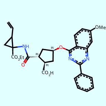 C=CC1CC1(NC(=O)[C@@H]1C[C@@H](Oc2nc(-c3ccccc3)nc3cc(OC)ccc23)C[C@H]1C(=O)O)C(=O)OCC